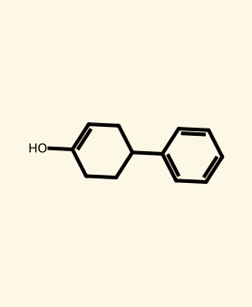 OC1=CCC(c2ccccc2)CC1